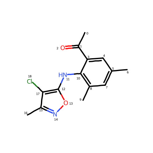 CC(=O)c1cc(C)cc(C)c1Nc1onc(C)c1Cl